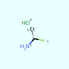 CC[C@@H](N)F.Cl